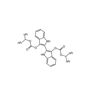 CCCC(CCC)OC(=O)Oc1c(-c2[nH]c3ccccc3c2OC(=O)OC(CCC)CCC)[nH]c2ccccc12